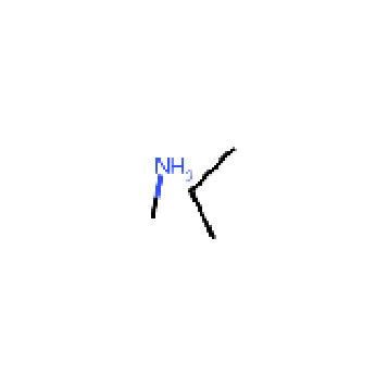 CCC.CN